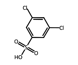 O=S(=O)(O)c1cc(Cl)cc(Cl)c1